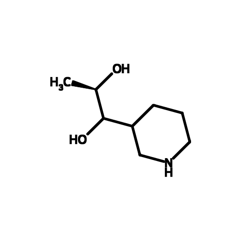 C[C@@H](O)C(O)C1CCCNC1